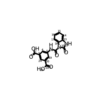 O=C(O)c1cc(NC(=O)n2c(=O)[nH]c3ccccc32)cc(C(=O)O)c1